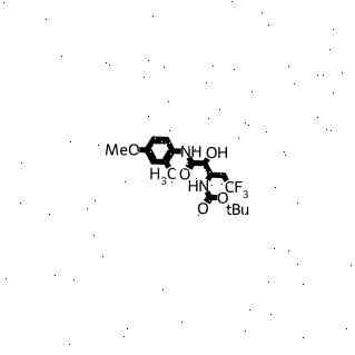 COc1ccc(NC(=O)C(O)C(CC(F)(F)F)NC(=O)OC(C)(C)C)c(C)c1